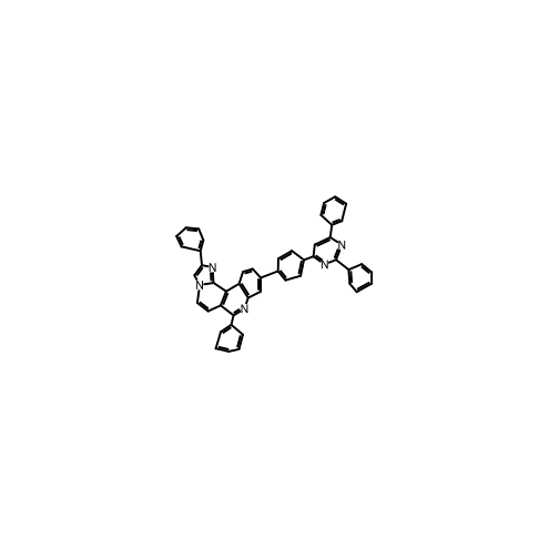 c1ccc(-c2cc(-c3ccc(-c4ccc5c(c4)nc(-c4ccccc4)c4ccn6cc(-c7ccccc7)nc6c45)cc3)nc(-c3ccccc3)n2)cc1